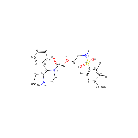 COc1cc(C)c(S(=O)(=O)N(C)CCOCC(=O)N2CCn3cccc3C2c2ccccc2)c(C)c1C